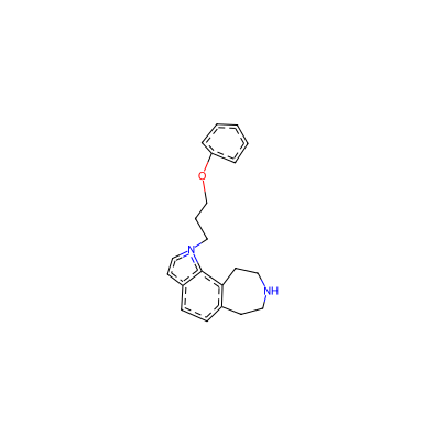 c1ccc(OCCCn2ccc3ccc4c(c32)CCNCC4)cc1